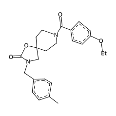 CCOc1ccc(C(=O)N2CCC3(CC2)CN(Cc2ccc(C)cc2)C(=O)O3)cc1